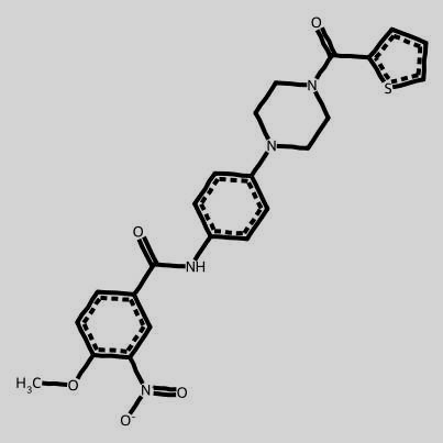 COc1ccc(C(=O)Nc2ccc(N3CCN(C(=O)c4cccs4)CC3)cc2)cc1[N+](=O)[O-]